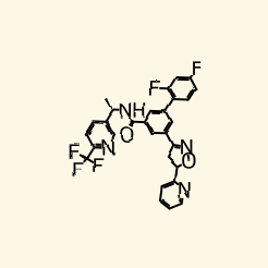 C[C@@H](NC(=O)c1cc(C2=NOC(c3ccccn3)C2)cc(-c2ccc(F)cc2F)c1)c1ccc(C(F)(F)F)nc1